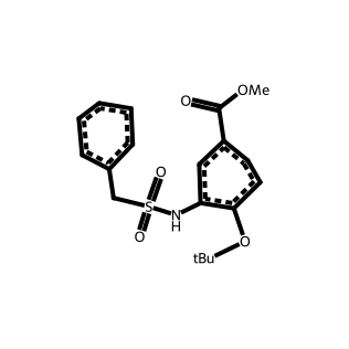 COC(=O)c1ccc(OC(C)(C)C)c(NS(=O)(=O)Cc2ccccc2)c1